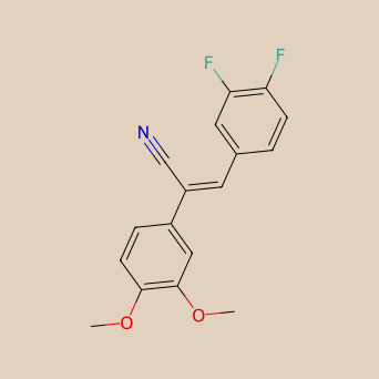 COc1ccc(C(C#N)=Cc2ccc(F)c(F)c2)cc1OC